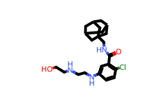 O=C(NCC12CC3CC(CC(C3)C1)C2)c1cc(NCCNCCO)ccc1Cl